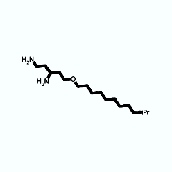 CC(C)CCCCCCCCCOCCC(N)CCN